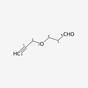 C#CCOCCC=O